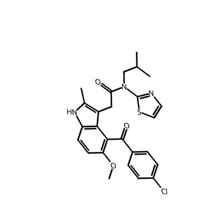 COc1ccc2[nH]c(C)c(CC(=O)N(CC(C)C)c3nccs3)c2c1C(=O)c1ccc(Cl)cc1